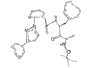 CC(C)(C)ONC(=O)C(=O)[C@H](Cc1ccccc1)NC(=O)c1cccnc1-n1ccc(-c2ccccc2)n1